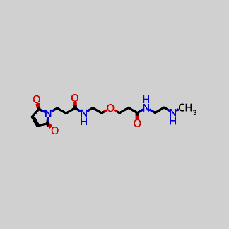 CNCCNC(=O)CCOCCNC(=O)CCN1C(=O)C=CC1=O